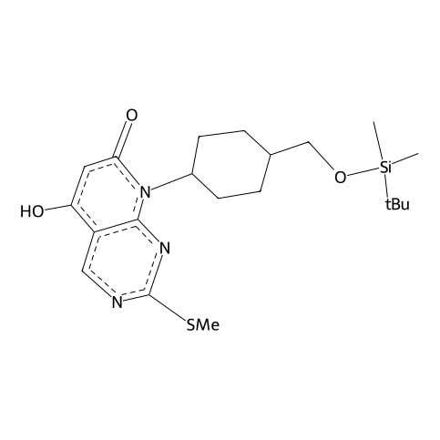 CSc1ncc2c(O)cc(=O)n(C3CCC(CO[Si](C)(C)C(C)(C)C)CC3)c2n1